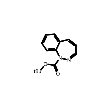 CC(C)(C)OC(=O)N1N=CC=Cc2ccccc21